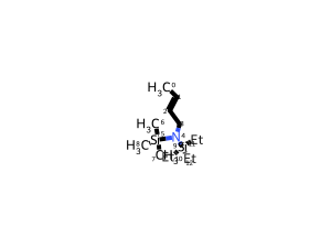 CC=CCN([Si](C)(C)C)[Si](CC)(CC)CC